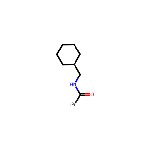 CC(C)C(=O)NCC1CCCCC1